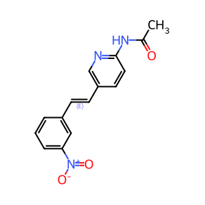 CC(=O)Nc1ccc(/C=C/c2cccc([N+](=O)[O-])c2)cn1